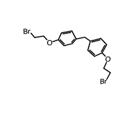 BrCCOc1ccc(Cc2ccc(OCCBr)cc2)cc1